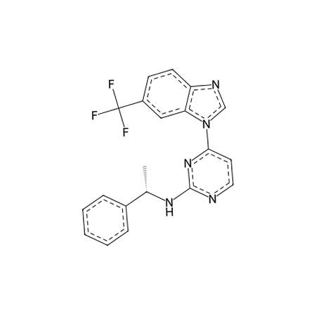 C[C@H](Nc1nccc(-n2cnc3ccc(C(F)(F)F)cc32)n1)c1ccccc1